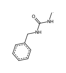 [CH2]NC(=O)NCc1ccccc1